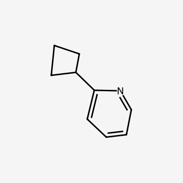 c1ccc(C2CCC2)nc1